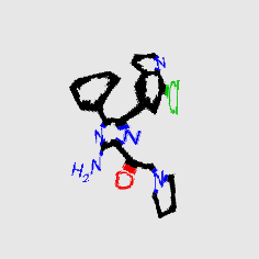 Nc1nc(-c2ccccc2)c(-c2cc(Cl)c3ncccc3c2)nc1C(=O)CN1CCCC1